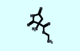 CCOC(=O)C1(N)CC(=O)NC1=O